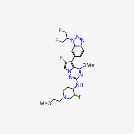 COCCN1CC[C@@H](Nc2nc(OC)c3c(-c4ccc5nnn(C(CF)CF)c5c4)c(F)cn3n2)[C@@H](F)C1